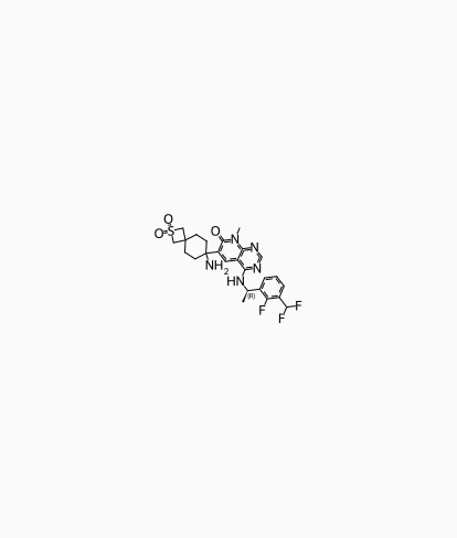 C[C@@H](Nc1ncnc2c1cc(C1(N)CCC3(CC1)CS(=O)(=O)C3)c(=O)n2C)c1cccc(C(F)F)c1F